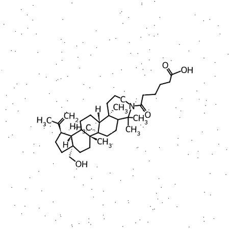 C=C(C)[C@@H]1CC[C@]2(CO)CC[C@]3(C)[C@H](CC[C@@H]4[C@@]5(C)CCCN(C(=O)CCCCC(=O)O)C(C)(C)C5CC[C@]43C)[C@@H]12